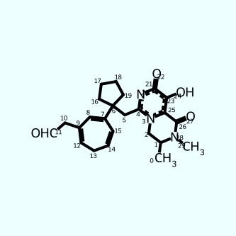 CC1Cn2c(CC3(C4=CC(CC=O)=CCC=C4)CCCC3)nc(=O)c(O)c2C(=O)N1C